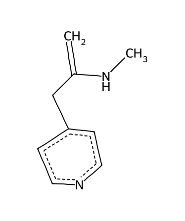 C=C(Cc1ccncc1)NC